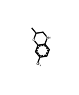 CC1CNc2ccc(C(F)(F)F)cc2O1